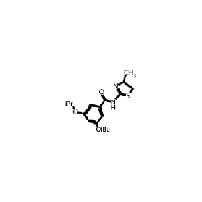 CC(C)COc1cc(OC(C)C)cc(C(=O)NC2=NC(C)CS2)c1